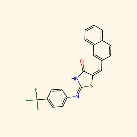 O=C1NC(=Nc2ccc(C(F)(F)F)cc2)SC1=Cc1ccc2ccccc2c1